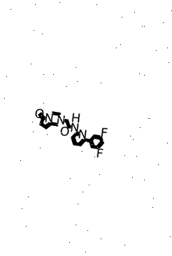 O=C(CN1CCN2C(=O)CC=C2C1)Nc1cccc(-c2cc(F)cc(F)c2)n1